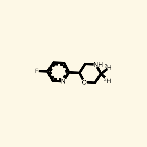 [2H]C1([2H])COC(c2ccc(F)cn2)CN1